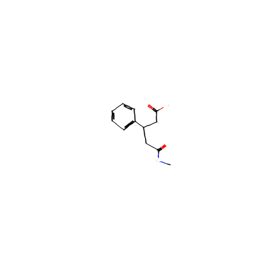 CNC(=O)CC(CC(=O)O)c1ccccc1